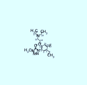 CCc1cc(-n2nnn(C)c2=O)c(OCCN(CC)CC)cc1F